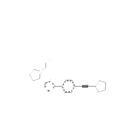 CCN1CCC[C@H]1c1nc(-c2ccc(C#CC3CCCC3)cc2)no1